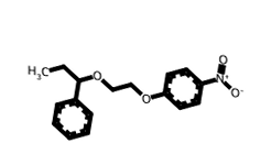 CCC(OCCOc1ccc([N+](=O)[O-])cc1)c1ccccc1